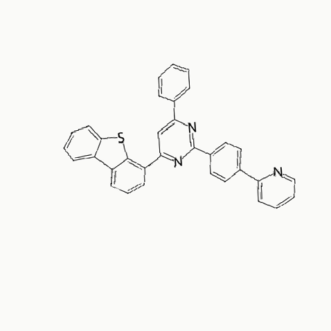 c1ccc(-c2cc(-c3cccc4c3sc3ccccc34)nc(-c3ccc(-c4ccccn4)cc3)n2)cc1